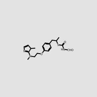 CC(Cc1ccc(OCCN(C)C2=NC=CC2C)cc1)SC(=O)NC=O